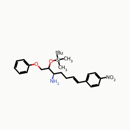 CC(C)(C)[Si](C)(C)OC(COc1ccccc1)[C@H](N)CC/C=C/c1ccc([N+](=O)[O-])cc1